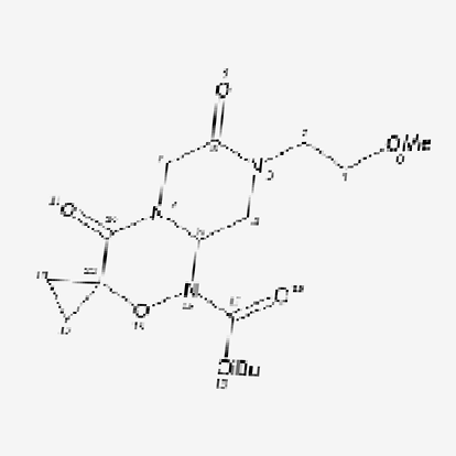 COCCN1CC2N(CC1=O)C(=O)C1(CC1)ON2C(=O)OCC(C)C